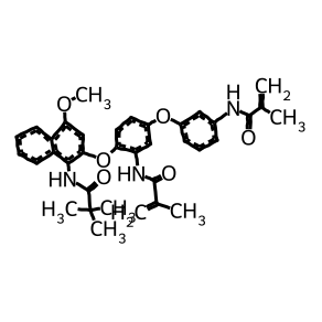 C=C(C)C(=O)Nc1cccc(Oc2ccc(Oc3cc(OC)c4ccccc4c3NC(=O)C(C)(C)C)c(NC(=O)C(=C)C)c2)c1